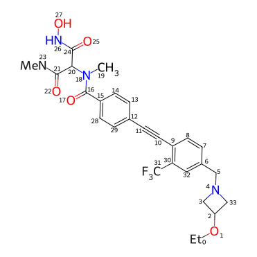 CCOC1CN(Cc2ccc(C#Cc3ccc(C(=O)N(C)C(C(=O)NC)C(=O)NO)cc3)c(C(F)(F)F)c2)C1